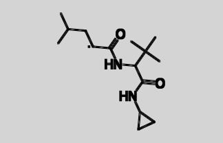 CC(C)C[CH]C(=O)NC(C(=O)NC1CC1)C(C)(C)C